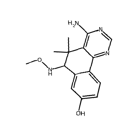 CONC1c2cc(O)ccc2-c2ncnc(N)c2C1(C)C